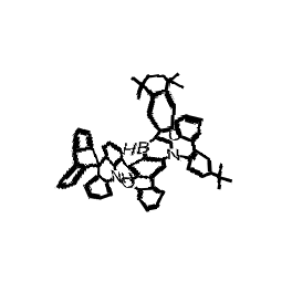 CC(C)(C)c1ccc(N2c3cc4c(oc5ccccc54)c(-c4cccc5c4Nc4ccccc4C54c5ccccc5-c5ccccc54)c3Bc3c2oc2cc4c(cc32)C(C)(C)CCC4(C)C)c(-c2ccccc2)c1